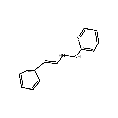 C(=Cc1ccccc1)NNc1ccccn1